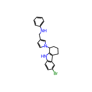 Brc1ccc2[nH]c3c(c2c1)CCCC3n1ccc(CNc2ccccc2)c1